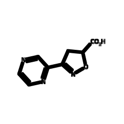 O=C(O)C1CC(c2cnccn2)=NO1